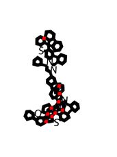 c1ccc(-c2cc(-c3ccc4c(c3)sc3cc(-c5cccc6c5-c5ccccc5C65c6ccccc6Sc6ccc(-c7ccccc7-c7nc(-c8ccccc8)cc(-c8ccc(-c9cccc%10c9oc9ccccc9%10)cc8)n7)cc65)ccc34)nc(-c3ccccc3-c3ccc4c(c3)C3(c5ccccc5S4)c4ccccc4-c4ccccc43)n2)cc1